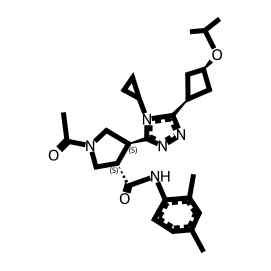 CC(=O)N1C[C@@H](C(=O)Nc2ccc(C)cc2C)[C@H](c2nnc([C@H]3C[C@@H](OC(C)C)C3)n2C2CC2)C1